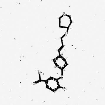 CC(=O)c1ccc(C(N)=O)cc1Oc1ccc(C=CCOC2CCOCC2)cc1